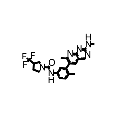 CNc1ncc2cc(-c3cc(NC(=O)N4CCC(C(F)(F)F)C4)ccc3C)c(C)nc2n1